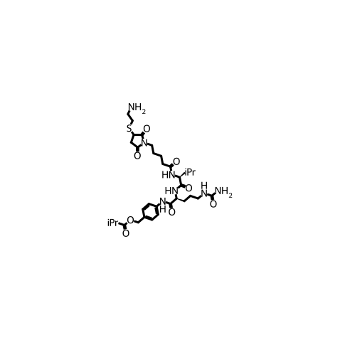 CC(C)C(=O)OCc1ccc(NC(=O)[C@H](CCCNC(N)=O)NC(=O)[C@@H](NC(=O)CCCCN2C(=O)CC(SCCN)C2=O)C(C)C)cc1